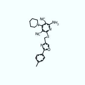 Cc1ccc(-c2nc(CSc3nc(N)c(C#N)c(N4CCCCC4)c3C#N)co2)cc1